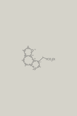 CCOC(=O)Cc1coc2ccc3ccoc3c12